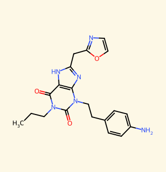 CCCn1c(=O)c2[nH]c(Cc3ncco3)nc2n(CCc2ccc(N)cc2)c1=O